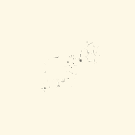 NC(=O)OC1CCCCC/C=C\C2CC2(C(=O)NS(=O)(=O)c2cccc3ccccc23)NC(=O)C2CCCN2C1=O